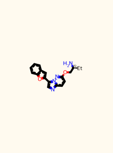 CC[C@H](N)COc1ccc2ncc(-c3cc4ccccc4o3)n2n1